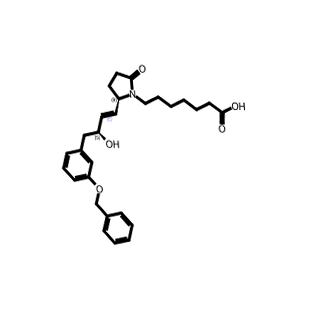 O=C(O)CCCCCCN1C(=O)CC[C@@H]1/C=C/[C@@H](O)Cc1cccc(OCc2ccccc2)c1